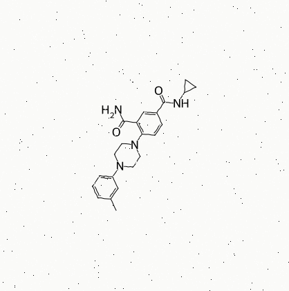 Cc1cccc(N2CCN(c3ccc(C(=O)NC4CC4)cc3C(N)=O)CC2)c1